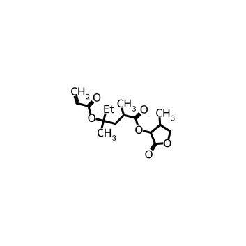 C=CC(=O)OC(C)(CC)CC(C)C(=O)OC1C(=O)OCC1C